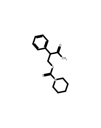 CC(=O)C(CSC(=S)N1CCCCC1)c1ccccc1